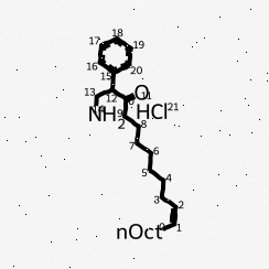 CCCCCCCC/C=C\CCCCCCCC(=O)C(CN)c1ccccc1.Cl